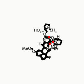 COCOc1cc(-c2ncc3c(N4C[C@H]5CC[C@@H](C4)N5C(=O)OC(C)(C)C)nc(OCC4(C(=O)O)CCCN4C)nc3c2F)c2c(C#C[Si](C(C)C)(C(C)C)C(C)C)c(F)ccc2c1